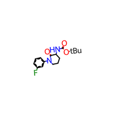 CC(C)(C)OC(=O)NC1CCCN(c2cccc(F)c2)C1=O